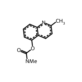 CNC(=O)Oc1cccc2nc(C)ccc12